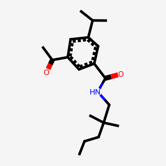 CCCC(C)(C)CNC(=O)c1cc(C(C)=O)cc(C(C)C)c1